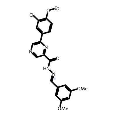 CCOc1ccc(-c2cncc(C(=O)N/N=C/c3cc(OC)cc(OC)c3)n2)cc1Cl